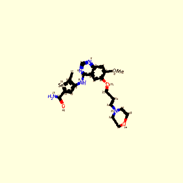 COc1cc2ncnc(Nc3cc(C(N)=O)[se]c3C)c2cc1OCCCN1CCOCC1